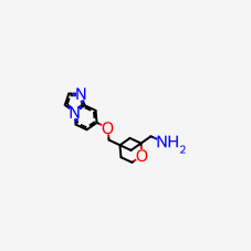 NCC12CC(COc3ccn4ccnc4c3)(CCO1)C2